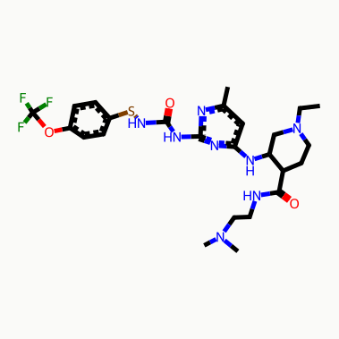 CCN1CCC(C(=O)NCCN(C)C)C(Nc2cc(C)nc(NC(=O)NSc3ccc(OC(F)(F)F)cc3)n2)C1